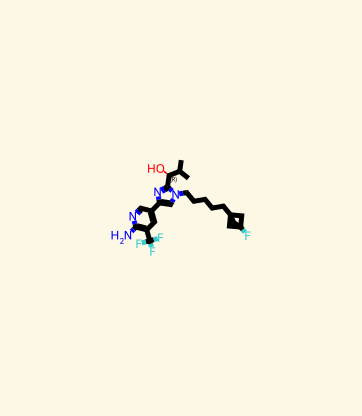 CC(C)[C@@H](O)c1nc(-c2cnc(N)c(C(F)(F)F)c2)cn1CCCCCC12CC(F)(C1)C2